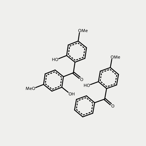 COc1ccc(C(=O)c2ccc(OC)cc2O)c(O)c1.COc1ccc(C(=O)c2ccccc2)c(O)c1